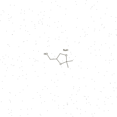 CC1(C)OCC(CO)O1.[NaH]